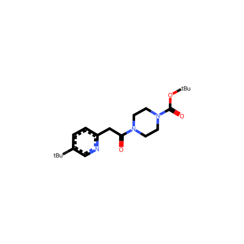 CC(C)(C)OC(=O)N1CCN(C(=O)Cc2ccc(C(C)(C)C)cn2)CC1